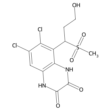 CS(=O)(=O)C(CCO)c1c(Cl)c(Cl)cc2[nH]c(=O)c(=O)[nH]c12